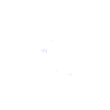 C=CC(=O)NCC=COCCCC